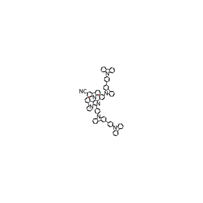 N#Cc1ccc2c(c1)c1ccccc1n2-c1c(-c2ccccc2-c2ccccn2)cc(-c2ccc(-n3c4ccccc4c4cc(-c5ccc(-n6c7ccccc7c7ccccc76)cc5)ccc43)cc2)nc1-c1ccc(-n2c3ccccc3c3cc(-c4ccc(-n5c6ccccc6c6ccccc65)cc4)ccc32)cc1